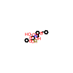 OC[C@H]1O[C@H](Oc2ccccc2)[C@](O)(Cl)[C@@H](O)[C@@]1(O)n1ccc2c(OCc3ccccc3)cccc21